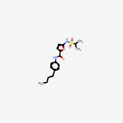 CCCCc1ccc(NC(=O)c2ccc(NS(=O)(=O)C(C)C)o2)cc1